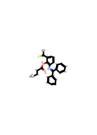 CCC(=S)c1cccc(N=C(c2ccccc2)c2ccccc2)c1OC(=O)CCC(C)(C)C